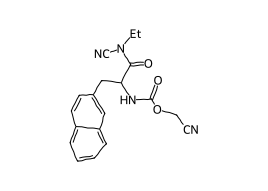 CCN(C#N)C(=O)C(Cc1ccc2ccccc2c1)NC(=O)OCC#N